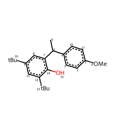 COc1ccc(C(C)c2cc(C(C)(C)C)cc(C(C)(C)C)c2O)cc1